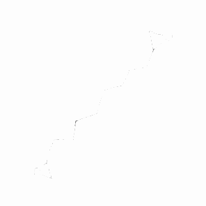 [CH](CCCCC1CO1)CCCC1CO1